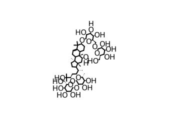 C[C@H](CC[C@@H](O[C@@H]1O[C@H](C)[C@@H](O)[C@H](O)[C@H]1O[C@H]1O[C@@H](CO)[C@H](O)[C@@H](O)[C@@H]1O)C(C)(C)O)C1CC[C@@]2(C)C3CC=C4C(CC[C@H](O[C@@H]5O[C@H](CO[C@H]6O[C@H](CO)[C@@H](O)[C@H](O)[C@H]6O)[C@@H](O)[C@H](O)[C@H]5O)C4(C)C)[C@]3(C)[C@H](O)C[C@]12C